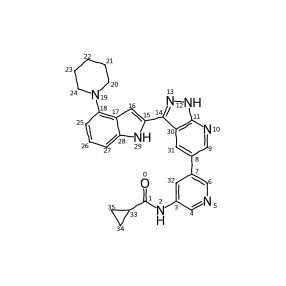 O=C(Nc1cncc(-c2cnc3[nH]nc(-c4cc5c(N6CCCCC6)cccc5[nH]4)c3c2)c1)C1CC1